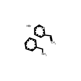 Br.C=Cc1ccccn1.NCc1ccccc1